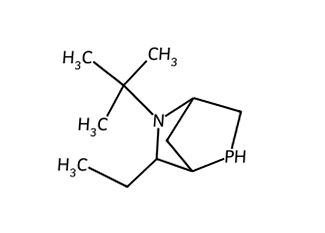 CCC1C2CC(CP2)N1C(C)(C)C